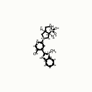 Cn1c(-c2cc(N3C[C@H]4CNS(=O)(=O)[C@H]4C3)ncc2Cl)nc2ccccc21